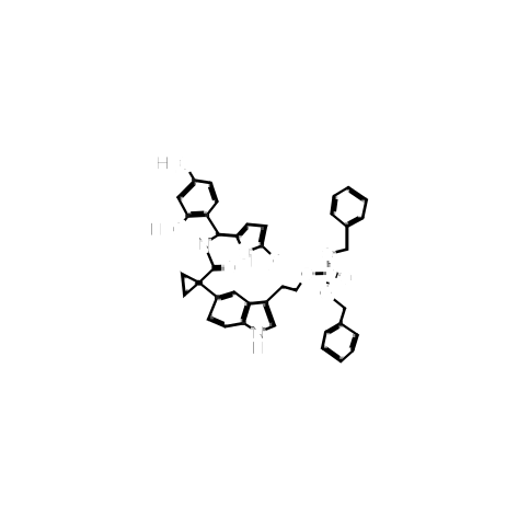 Cc1ccc(C(NC(=O)C2(c3ccc4[nH]cc(CCOP(=O)(OCc5ccccc5)OCc5ccccc5)c4c3)CC2)c2ccc(C)o2)c(C)c1